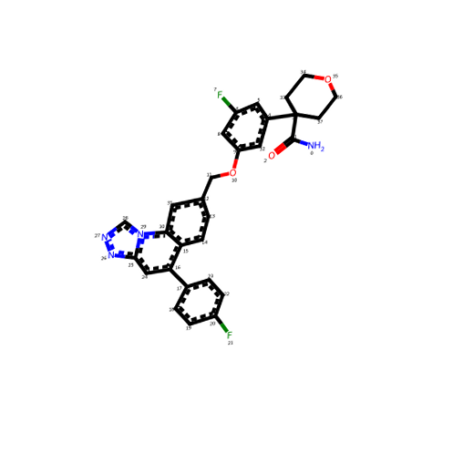 NC(=O)C1(c2cc(F)cc(OCc3ccc4c(-c5ccc(F)cc5)cc5nncn5c4c3)c2)CCOCC1